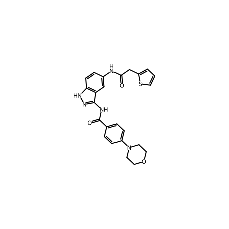 O=C(Cc1cccs1)Nc1ccc2[nH]nc(NC(=O)c3ccc(N4CCOCC4)cc3)c2c1